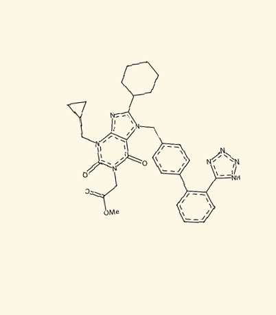 COC(=O)Cn1c(=O)c2c(nc(C3CCCCC3)n2Cc2ccc(-c3ccccc3-c3nnn[nH]3)cc2)n(CC2CC2)c1=O